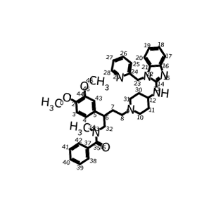 COc1ccc(C(CCN2CCC(Nc3nc4ccccc4n3Cc3ccccn3)CC2)CN(C)C(=O)c2ccccc2)cc1OC